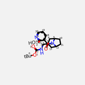 CC(C)(C)OC(=O)N[C@H](C(=O)O)C1CC2CCC(C1)N2C(=O)c1cccnc1